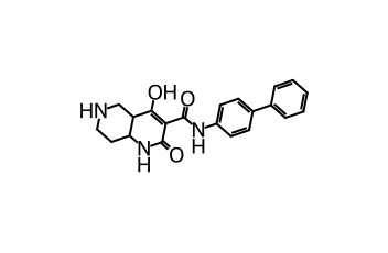 O=C(Nc1ccc(-c2ccccc2)cc1)C1=C(O)C2CNCCC2NC1=O